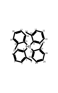 Cc1cccc[c]1[Hf]([c]1ccccc1C)([c]1ccccc1C)[c]1ccccc1C